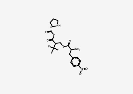 NC(Cc1ccc([N+](=O)[O-])cc1)C(=O)SCC(C(=O)OC(=O)[C@@H]1CCCN1)C(F)(F)F